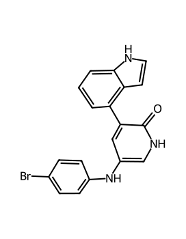 O=c1[nH]cc(Nc2ccc(Br)cc2)cc1-c1cccc2[nH]ccc12